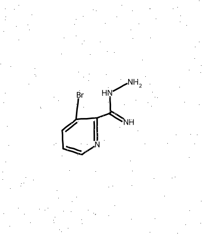 N=C(NN)c1ncccc1Br